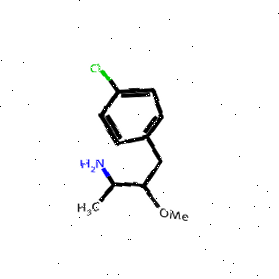 COC(Cc1ccc(Cl)cc1)C(C)N